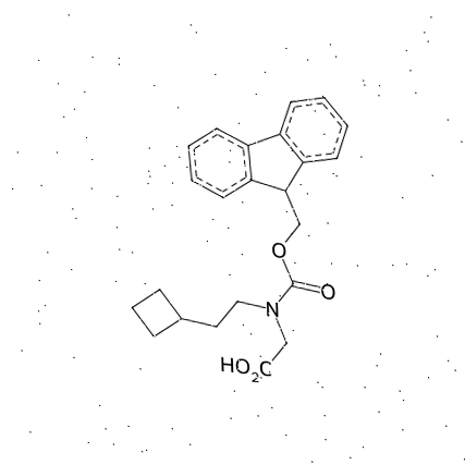 O=C(O)CN(CCC1CCC1)C(=O)OCC1c2ccccc2-c2ccccc21